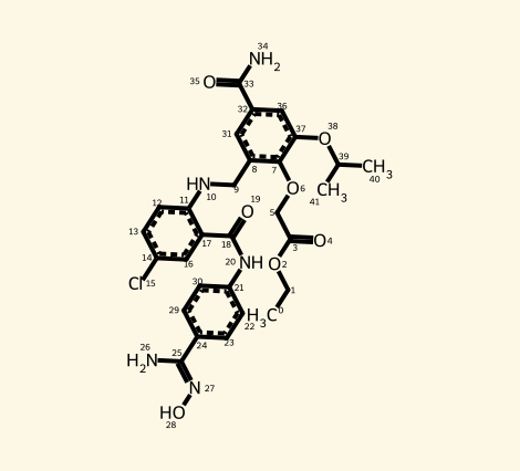 CCOC(=O)COc1c(CNc2ccc(Cl)cc2C(=O)Nc2ccc(/C(N)=N/O)cc2)cc(C(N)=O)cc1OC(C)C